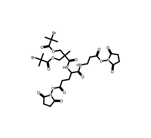 CC(C)(Br)C(=O)OCC(C)(COC(=O)C(C)(C)Br)C(=O)NC(CCC(=O)ON1C(=O)CCC1=O)C(=O)NCCC(=O)ON1C(=O)CCC1=O